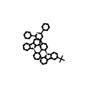 CC(C)(C)c1ccc2c(c1)c1ccccc1n2-c1ccc(-c2cc(-c3ccccc3)nc(-c3ccccc3)n2)cc1-c1ccccc1-n1c2ccccc2c2ccccc21